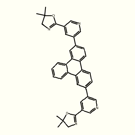 CC1(C)CN=C(c2cncc(-c3ccc4c5ccc(-c6cncc(C7=NCC(C)(C)O7)c6)cc5c5ccccc5c4c3)c2)O1